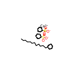 CCCCCCCCCCCCc1ccccc1.O=S(=O)([O-])c1ccccc1.O=S(=O)([O-])c1ccccc1.[Ca+2]